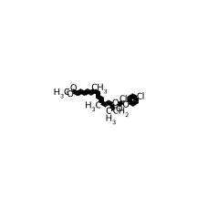 C=C(C)C(CCC(C)=CCCC(C)=CC=CC=CC(=O)OC)OC(=O)C(Cl)Oc1ccc(Cl)cc1